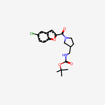 CC(C)(C)OC(=O)NCC1CCN(C(=O)c2cc3cc(Cl)ccc3o2)C1